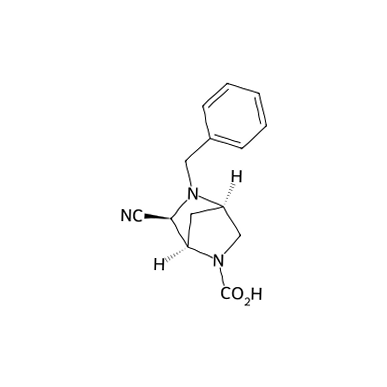 N#C[C@@H]1[C@H]2C[C@H](CN2C(=O)O)N1Cc1ccccc1